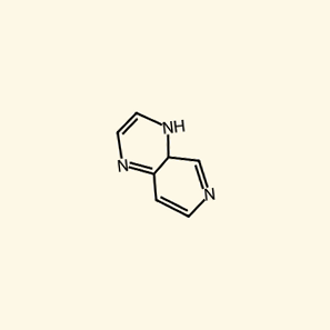 C1=CC2=NC=CNC2C=N1